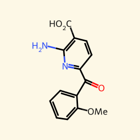 COc1ccccc1C(=O)c1ccc(C(=O)O)c(N)n1